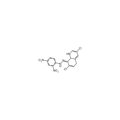 O=[N+]([O-])c1ccc(NN=C2C(Cl)=CCC3=CC(Cl)=CNC32)c([N+](=O)[O-])c1